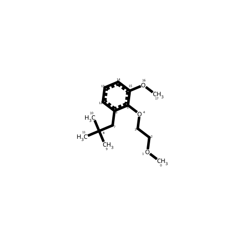 COCCOc1c(CC(C)(C)C)cccc1OC